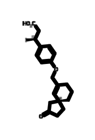 O=C(O)C[C@H](I)c1ccc(OCC2=C[C@]3(CCC2)CCC(=O)C3)cc1